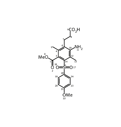 COC(=O)c1c(C)c(CCC(=O)O)c(N)c(C)c1S(=O)(=O)c1ccc(OC)cc1